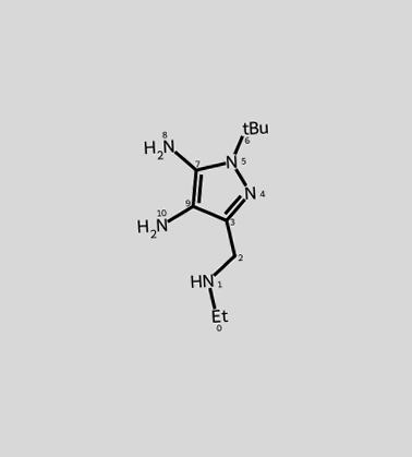 CCNCc1nn(C(C)(C)C)c(N)c1N